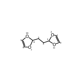 C1=COC(CCC2OC=CO2)O1